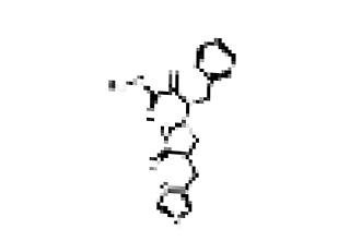 CC(C)(C)OC(=O)N[C@@H](Cc1ccccc1)[C@@H]1C[C@@H](Cc2cncs2)C(=O)O1